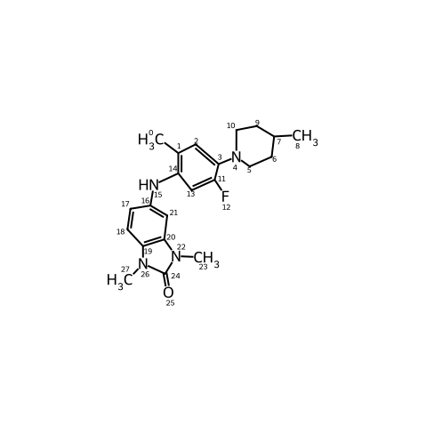 Cc1cc(N2CCC(C)CC2)c(F)cc1Nc1ccc2c(c1)n(C)c(=O)n2C